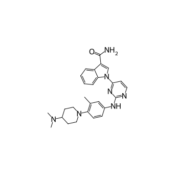 Cc1cc(Nc2nccc(-n3cc(C(N)=O)c4ccccc43)n2)ccc1N1CCC(N(C)C)CC1